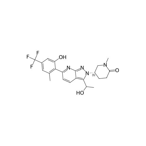 Cc1cc(C(F)(F)F)cc(O)c1-c1ccc2c(C(C)O)n([C@H]3CCC(=O)N(C)C3)nc2n1